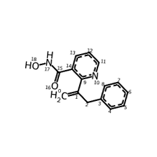 C=C(Cc1ccccc1)c1ncccc1C(=O)NO